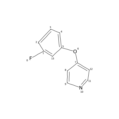 Fc1[c]ccc(Oc2ccncc2)c1